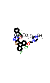 CCOC(=O)C(Oc1ncnc2sc3c4ccc(F)cc4c4c(Cl)c(OCCN5CCN(C)CC5)ccc4c3c12)C(F)(F)c1ccccc1OC